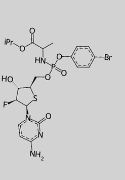 CC(C)OC(=O)C(C)NP(=O)(OC[C@H]1S[C@@H](n2ccc(N)nc2=O)[C@@H](F)[C@@H]1O)Oc1ccc(Br)cc1